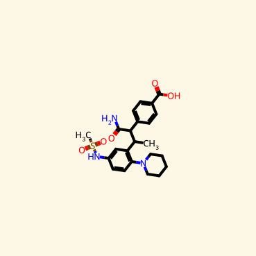 CC(c1cc(NS(C)(=O)=O)ccc1N1CCCCC1)C(C(N)=O)c1ccc(C(=O)O)cc1